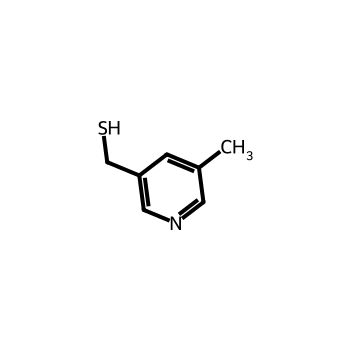 Cc1cncc(CS)c1